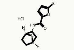 Cl.O=C(N[C@@H]1C[C@H]2CC[C@@H]1N2)c1ccc(Br)o1